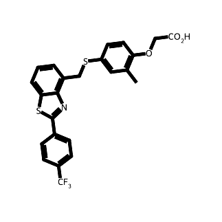 Cc1cc(SCc2cccc3sc(-c4ccc(C(F)(F)F)cc4)nc23)ccc1OCC(=O)O